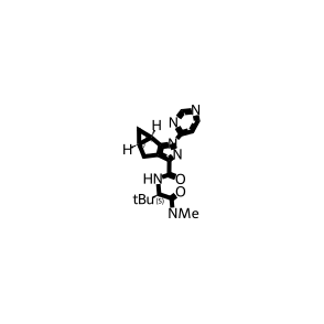 CNC(=O)[C@@H](NC(=O)c1nn(-c2ccncn2)c2c1C[C@H]1C[C@@H]21)C(C)(C)C